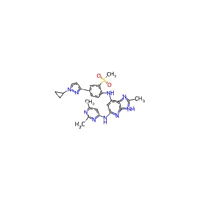 Cc1cc(Nc2cc(Nc3ccc(-c4ccn(C5CC5)n4)cc3S(C)(=O)=O)c3nc(C)[nH]c3n2)nc(C)n1